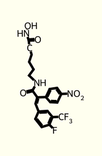 O=C(CCCCCNC(=O)C(=Cc1ccc(F)c(C(F)(F)F)c1)c1ccc([N+](=O)[O-])cc1)NO